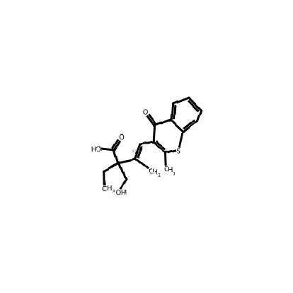 CCC(CO)(C(=O)O)/C(C)=C/c1c(C)sc2ccccc2c1=O